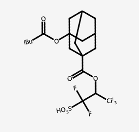 CCC(C)C(=O)OC12CC3CC(C1)CC(C(=O)OC(C(F)(F)F)C(F)(F)S(=O)(=O)O)(C3)C2